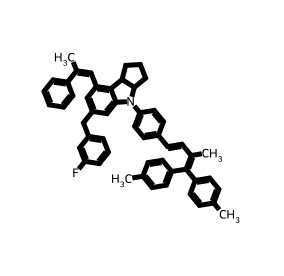 CC(/C=C/c1ccc(N2c3cc(Cc4cccc(F)c4)cc(/C=C(/C)c4ccccc4)c3C3CCCC32)cc1)=C(c1ccc(C)cc1)c1ccc(C)cc1